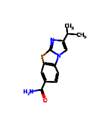 CC(C)c1cn2c(n1)sc1cc(C(N)=O)ccc12